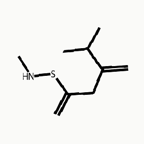 C=C(CC(=C)C(C)C)SNC